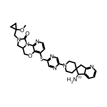 COC1(CN2CC3COc4c(Sc5cnc(N6CCC7(CC6)Cc6ncccc6[C@H]7N)cn5)ccnc4N3C2=O)CC1